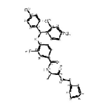 C[C@@H](NC(=O)c1ccc(OC(c2ccc(Cl)cc2)c2ccc(Cl)cc2Cl)c(F)c1)C(=O)OCc1ccccc1